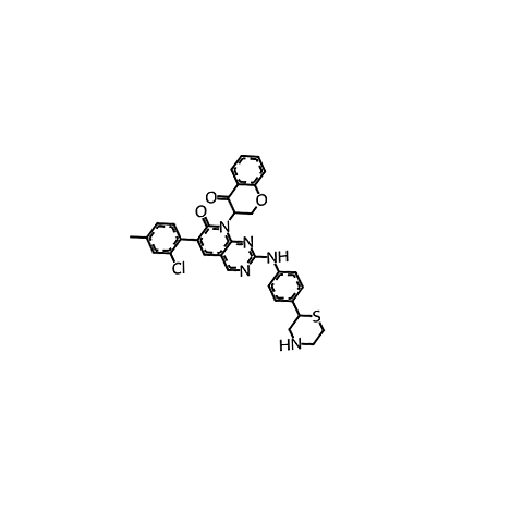 Cc1ccc(-c2cc3cnc(Nc4ccc(C5CNCCS5)cc4)nc3n(C3COc4ccccc4C3=O)c2=O)c(Cl)c1